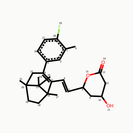 Cc1cc(C2=C(C=CC3CC(O)CC(=O)O3)C3(C)CCC(C)(C2)C3(C)C)ccc1F